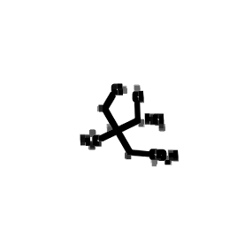 CC(CCl)(CCl)CC(=O)O.Cl